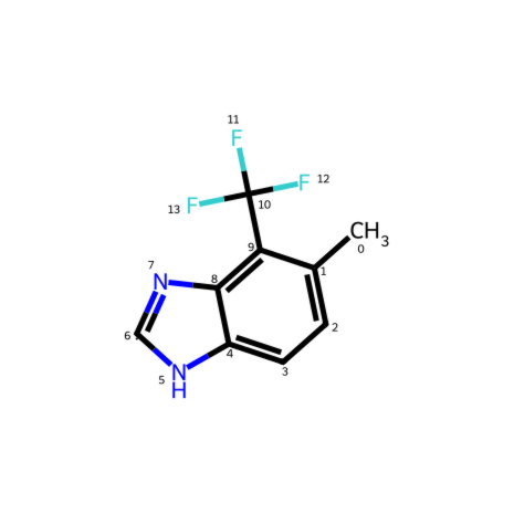 Cc1ccc2[nH][c]nc2c1C(F)(F)F